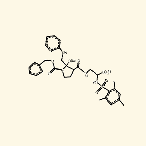 COC1(CNc2ccccn2)C(C(=O)NCC(NS(=O)(=O)c2c(C)cc(C)cc2C)C(=O)O)CCN1C(=O)OCc1ccccc1